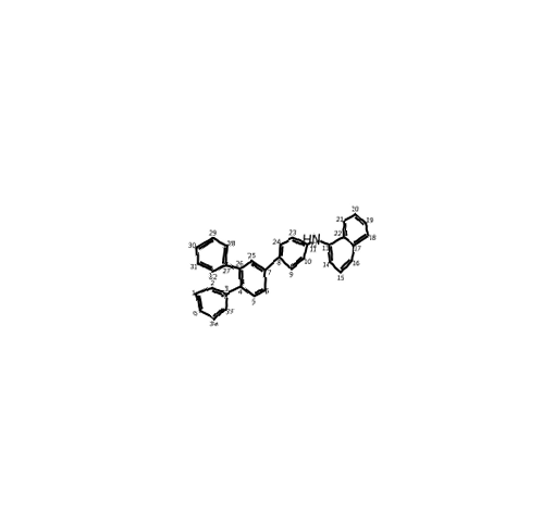 c1ccc(-c2ccc(-c3ccc(Nc4cccc5ccccc45)cc3)cc2-c2ccccc2)cc1